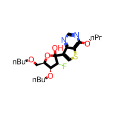 CCCCOC[C@H]1OC(O)(c2csc3c(OCCC)ncnc23)[C@H](F)[C@@H]1OCCCC